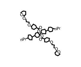 CCCC1CCC(C2CCC(OC(=O)C3CCC(OCCCOC4CCCCO4)CC3)(C3(OC(=O)C4CCC(OCCCOC5CCCCO5)CC4)CCC(C4CCC(CCC)CC4)CC3)CC2)CC1